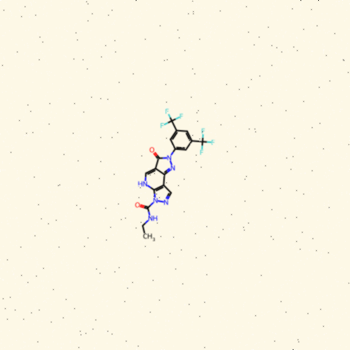 CCNC(=O)n1ncc2c3nn(-c4cc(C(F)(F)F)cc(C(F)(F)F)c4)c(=O)c-3c[nH]c21